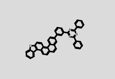 c1ccc(-c2nc(-c3ccccc3)nc(-c3cccc(-c4ccc5c(ccc6ccc7c(ccc8oc9ccccc9c87)c65)c4)c3)n2)cc1